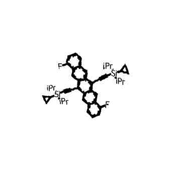 CC(C)[Si](C#Cc1c2cc3cccc(F)c3cc2c(C#C[Si](C(C)C)(C(C)C)C2CC2)c2cc3cccc(F)c3cc12)(C(C)C)C1CC1